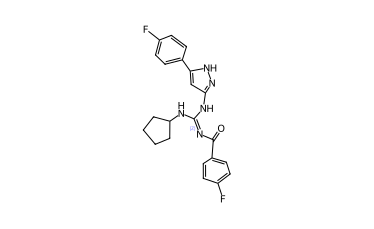 O=C(/N=C(\Nc1cc(-c2ccc(F)cc2)[nH]n1)NC1CCCC1)c1ccc(F)cc1